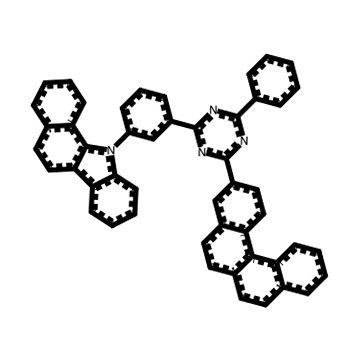 c1ccc(-c2nc(-c3cccc(-n4c5ccccc5c5ccc6ccccc6c54)c3)nc(-c3ccc4c(ccc5ccc6ccccc6c54)c3)n2)cc1